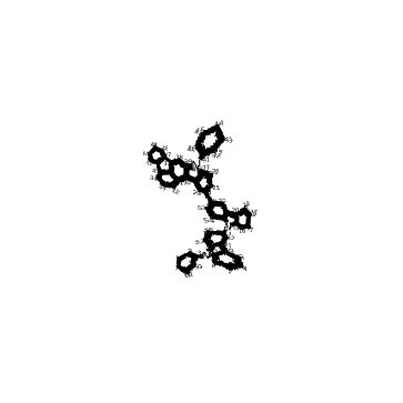 c1ccc(-n2c3ccccc3c3cc(-n4c5ccccc5c5cc(-c6ccc7c(c6)c6c8cccc9c8c(cc6n7-c6ccccc6)-c6ccccc6-9)ccc54)ccc32)cc1